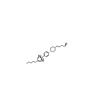 CCCCCc1cnc(-c2ccc([C@H]3CC[C@H](CCCCF)CC3)cc2)nc1